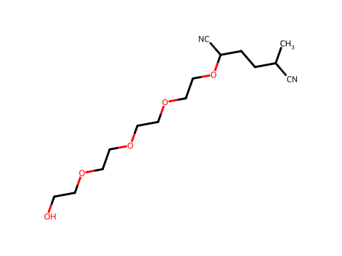 CC(C#N)CCC(C#N)OCCOCCOCCOCCO